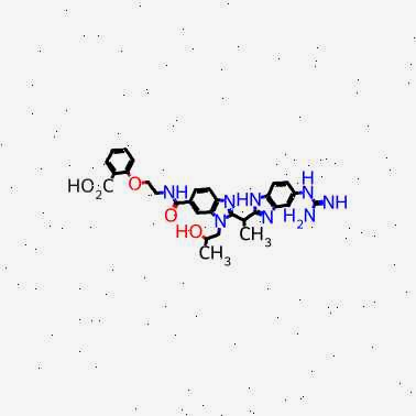 CC(O)Cn1c(C(C)c2nc3cc(NC(=N)N)ccc3[nH]2)nc2ccc(C(=O)NCCOc3ccccc3C(=O)O)cc21